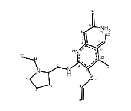 C=CSc1c(NCC2CCCN2CC)nc(=C/C(=C)N)/c(=C\C)c1C